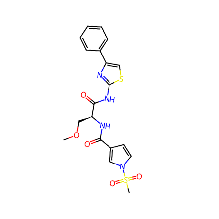 COC[C@H](NC(=O)c1ccn(S(C)(=O)=O)c1)C(=O)Nc1nc(-c2ccccc2)cs1